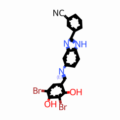 N#Cc1cccc(-c2nc3cc(/N=C/c4cc(Br)c(O)c(Br)c4O)ccc3[nH]2)c1